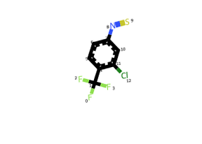 FC(F)(F)c1ccc(N=S)cc1Cl